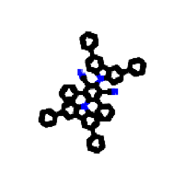 N#Cc1c(-c2ccccc2)c(-n2c3ccc(-c4ccccc4)cc3c3cc(-c4ccccc4)ccc32)c(-c2ccccc2)c(C#N)c1-n1c2ccc(-c3ccccc3)cc2c2cc(-c3ccccc3)ccc21